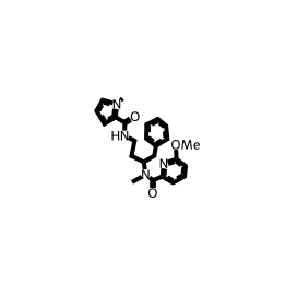 COc1cccc(C(=O)N(C)C(CCNC(=O)c2cccn2C)Cc2ccccc2)n1